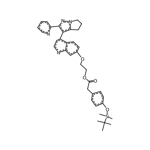 CC(C)(C)[Si](C)(C)Oc1ccc(CC(=O)OCCOc2ccc3c(-c4c(-c5ccccn5)nn5c4CCC5)ccnc3c2)cc1